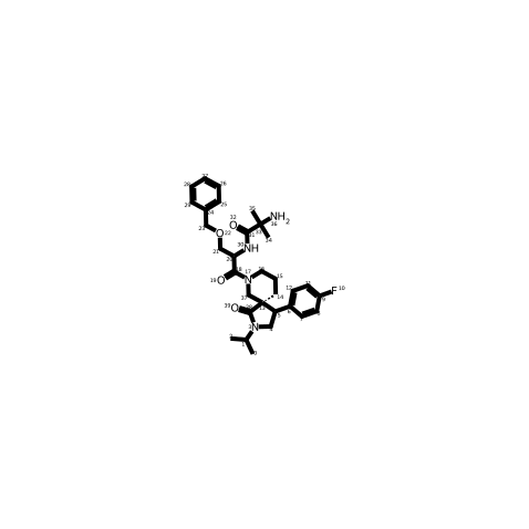 CC(C)N1CC(c2ccc(F)cc2)[C@@]2(CCCN(C(=O)C(COCc3ccccc3)NC(=O)C(C)(C)N)C2)C1=O